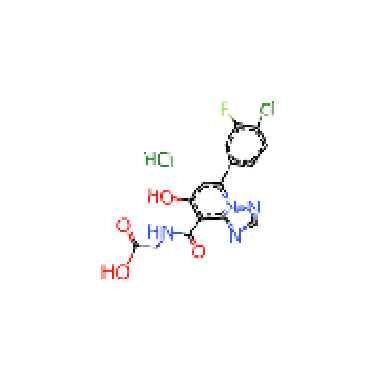 Cl.O=C(O)CNC(=O)c1c(O)cc(-c2ccc(Cl)c(F)c2)n2ncnc12